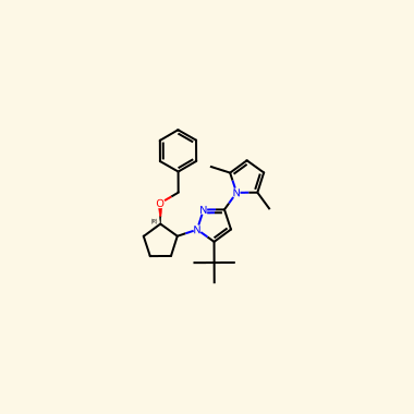 Cc1ccc(C)n1-c1cc(C(C)(C)C)n(C2CCC[C@H]2OCc2ccccc2)n1